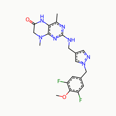 COc1c(F)cc(Cn2cc(CNc3nc(C)c4c(n3)N(C)CC(=O)N4)cn2)cc1F